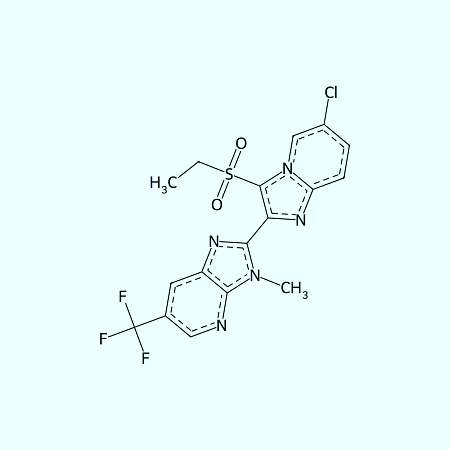 CCS(=O)(=O)c1c(-c2nc3cc(C(F)(F)F)cnc3n2C)nc2ccc(Cl)cn12